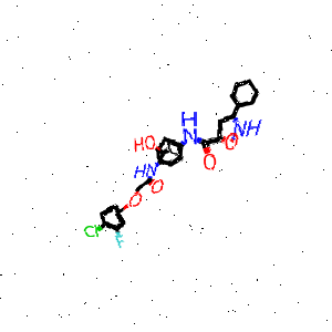 O=C(COc1ccc(Cl)c(F)c1)NC12CCC(NC(=O)C3CC(C4CCCCC4)NO3)(CC1)CC2O